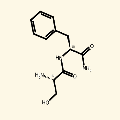 NC(=O)[C@H](Cc1ccccc1)NC(=O)[C@@H](N)CO